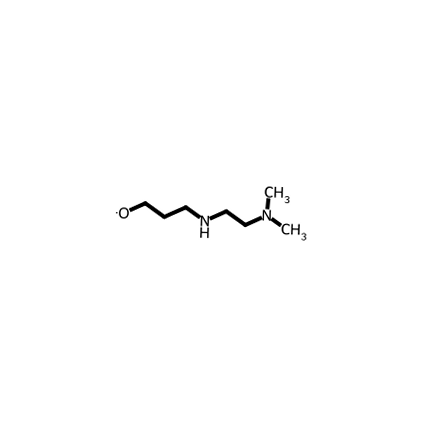 CN(C)CCNCCC[O]